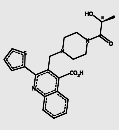 C[C@H](O)C(=O)N1CCN(Cc2c(-c3cccs3)nc3ccccc3c2C(=O)O)CC1